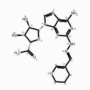 CC(=O)[C@H]1O[C@@H](n2cnc3c(N)nc(N/N=C/C4=COCCC4)nc32)[C@H](O)[C@@H]1O